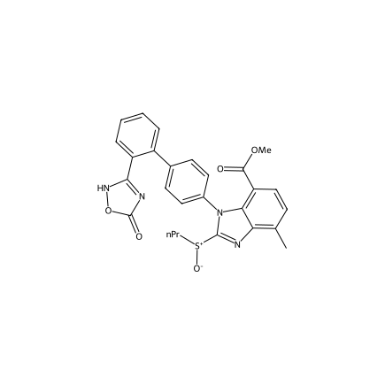 CCC[S+]([O-])c1nc2c(C)ccc(C(=O)OC)c2n1-c1ccc(-c2ccccc2-c2nc(=O)o[nH]2)cc1